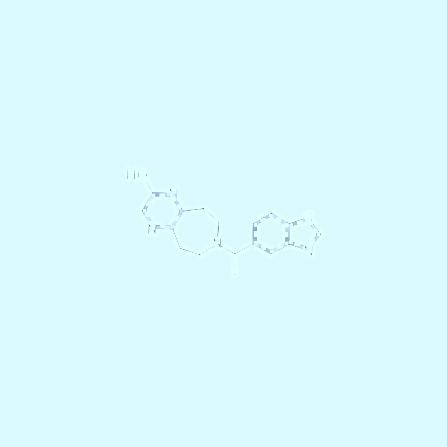 C[C@@H](c1ccc2scnc2c1)N1CCc2ncc(O)nc2CC1